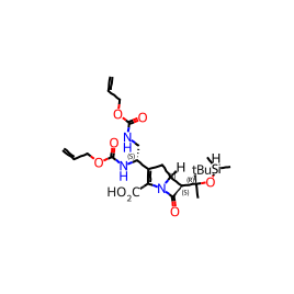 C=CCOC(=O)NC[C@@H](NC(=O)OCC=C)C1=C(C(=O)O)N2C(=O)[C@H]([C@@](C)(O[SiH](C)C)C(C)(C)C)[C@H]2C1